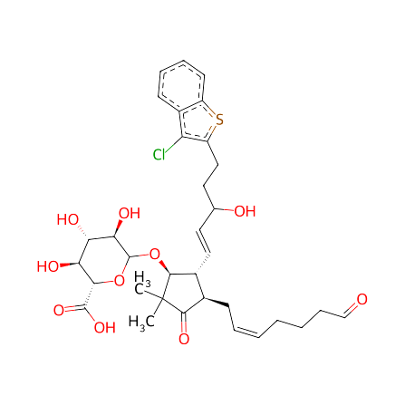 CC1(C)C(=O)[C@H](C/C=C\CCCC=O)[C@@H](/C=C/C(O)CCc2sc3ccccc3c2Cl)[C@@H]1OC1O[C@H](C(=O)O)[C@@H](O)[C@H](O)[C@H]1O